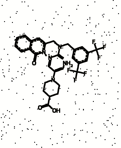 C=C(/N=C\C(=C/N)N1CCC(C(=O)O)CC1)N(Cc1cc(C(F)(F)F)cc(C(F)(F)F)c1)Cc1cc2ccccc2c(=O)n1C